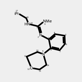 CN/C(=N\c1ccccc1N1CCOCC1)NCC(C)C